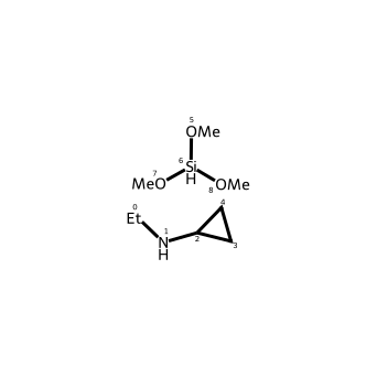 CCNC1CC1.CO[SiH](OC)OC